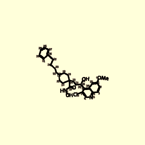 COc1ccc2ncc(Cl)c([C@H](O)CCC3(C(=O)NO)CCN(CCCCc4ccccc4)CC3)c2c1